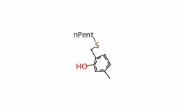 CCCCCSCc1ccc(C)cc1O